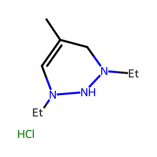 CCN1C=C(C)CN(CC)N1.Cl